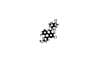 COc1ncc(-c2cc(Cl)c(F)c(C(C)Nc3ncnc4[nH]cnc34)c2-c2cccc(F)c2)cn1